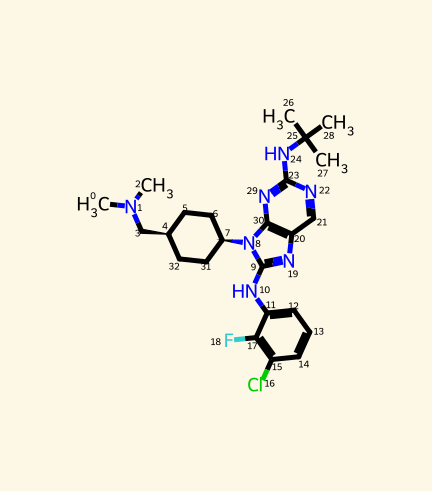 CN(C)C[C@H]1CC[C@@H](n2c(Nc3cccc(Cl)c3F)nc3cnc(NC(C)(C)C)nc32)CC1